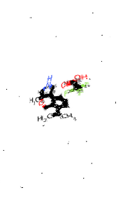 C=C(C)c1cccc2c1COC1(C)CNCC21.O=C(O)C(F)(F)F